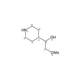 COCC(O)C1CCNCC1